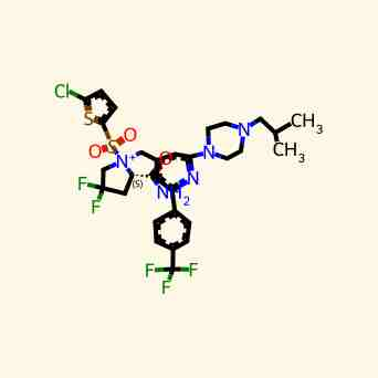 CC(C)CN1CCN(c2cc(C[N+]3(S(=O)(=O)c4ccc(Cl)s4)CC(F)(F)C[C@H]3C(N)=O)cc(-c3ccc(C(F)(F)F)cc3)n2)CC1